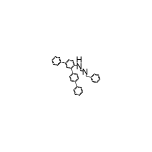 C(=N\Cc1ccccc1)/Nc1ccc(-c2ccccc2)cc1-c1ccc(-c2ccccc2)cc1